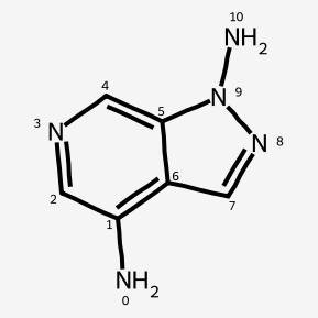 Nc1cncc2c1cnn2N